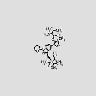 CC(C)C(N)C(C)Oc1c(-c2ccc3c(c2)c(C#C[Si](C(C)C)(C(C)C)C(C)C)nn3C2CCCCO2)cnn1C